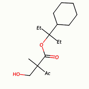 CCC(CC)(OC(=O)C(C)(CO)C(C)=O)C1CCCCC1